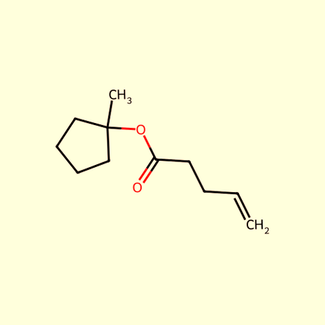 C=CCCC(=O)OC1(C)CCCC1